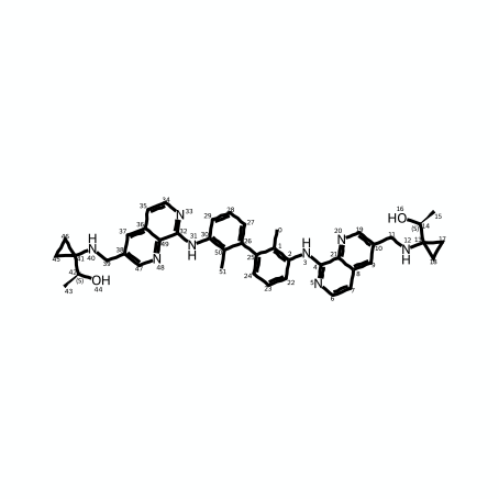 Cc1c(Nc2nccc3cc(CNC4([C@H](C)O)CC4)cnc23)cccc1-c1cccc(Nc2nccc3cc(CNC4([C@H](C)O)CC4)cnc23)c1C